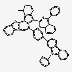 CC1CC=Cc2c1c1c3oc4ccccc4c3cc(-c3ccc(-c4ccc5c6ccccc6n(-c6ccccc6)c5c4)cc3)c1n2C1=NC(c2ccccc2)=C2C=CC=CC2N1C